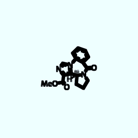 COC(=O)c1ncn2c1[C@@H]1CCCN1C(=O)c1ccccc1-2